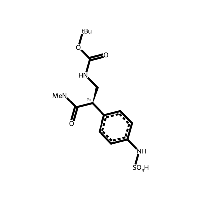 CNC(=O)[C@@H](CNC(=O)OC(C)(C)C)c1ccc(NS(=O)(=O)O)cc1